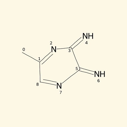 CC1=NC(=N)C(=N)N=C1